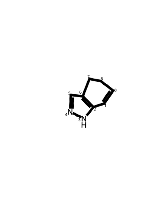 C1=Cc2[nH]ncc2CC1